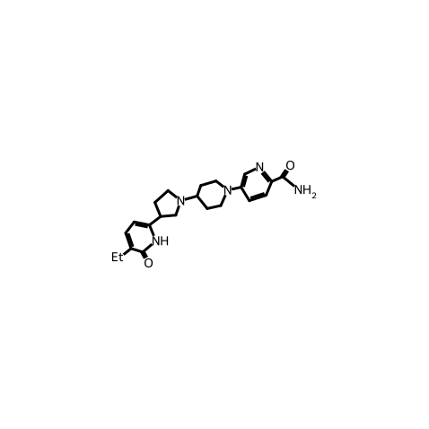 CCc1ccc(C2CCN(C3CCN(c4ccc(C(N)=O)nc4)CC3)C2)[nH]c1=O